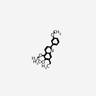 CCc1cc2nc(-c3cccc(OC)c3)ccc2c(OC)c1OC